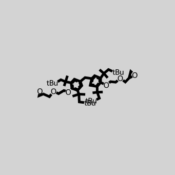 CC(C)(C)CC(C)(C)c1cc(Cc2cc(C(C)(C)CC(C)(C)C)c(OCCOCC3CO3)c(C(C)(C)CC(C)(C)C)c2)cc(C(C)(C)CC(C)(C)C)c1OCCOCC1CO1